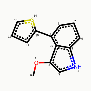 COc1[c][nH]c2cccc(-c3cccs3)c12